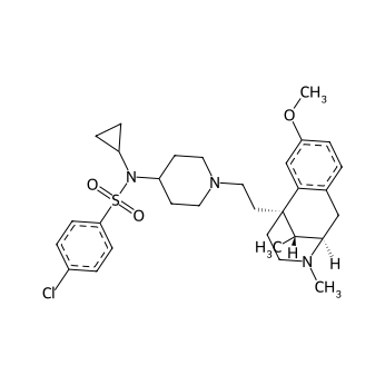 COc1ccc2c(c1)[C@]1(CCN3CCC(N(C4CC4)S(=O)(=O)c4ccc(Cl)cc4)CC3)CCN(C)[C@H](C2)[C@@H]1C